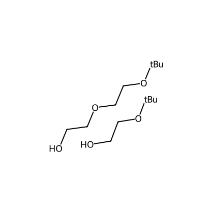 CC(C)(C)OCCO.CC(C)(C)OCCOCCO